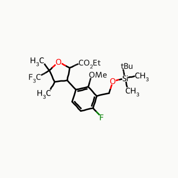 CCOC(=O)C1OC(C)(C(F)(F)F)C(C)C1c1ccc(F)c(CO[Si](C)(C)C(C)(C)C)c1OC